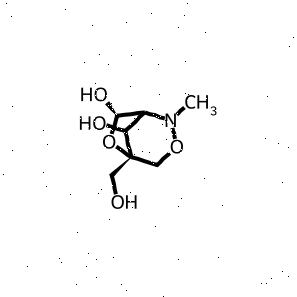 CN1OC[C@]2(CO)O[C@@H](O)C1C2O